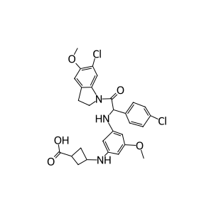 COc1cc(NC2CC(C(=O)O)C2)cc(NC(C(=O)N2CCc3cc(OC)c(Cl)cc32)c2ccc(Cl)cc2)c1